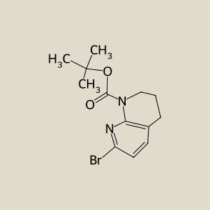 CC(C)(C)OC(=O)N1CCCc2ccc(Br)nc21